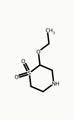 CCOC1CNCCS1(=O)=O